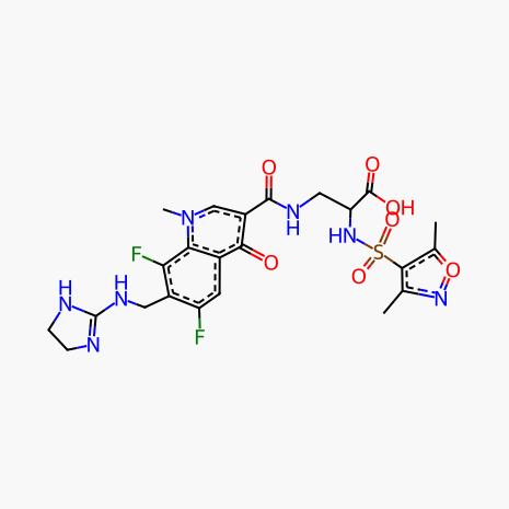 Cc1noc(C)c1S(=O)(=O)NC(CNC(=O)c1cn(C)c2c(F)c(CNC3=NCCN3)c(F)cc2c1=O)C(=O)O